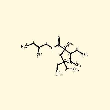 CCC(O)COC(=O)C(C)(CC(C)(CC)CC)C(CC)CC